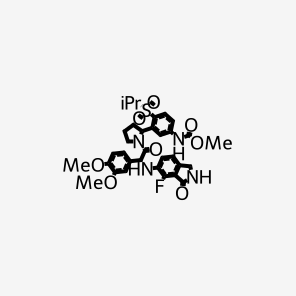 COC(=O)Nc1ccc(S(=O)(=O)C(C)C)c(C2CCCN2C(=O)[C@H](Nc2ccc3c(c2F)C(=O)NC3)c2ccc(OC)c(OC)c2)c1